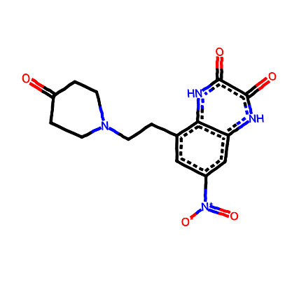 O=C1CCN(CCc2cc([N+](=O)[O-])cc3[nH]c(=O)c(=O)[nH]c23)CC1